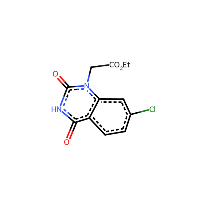 CCOC(=O)Cn1c(=O)[nH]c(=O)c2ccc(Cl)cc21